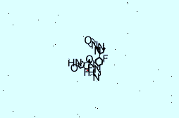 C[C@H]1CN(c2cc(F)c(-c3ccnc(N4CCOCC4)n3)cc2NC(=O)c2c[nH]c(=O)cc2C(F)F)CCN1C